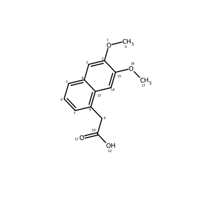 COc1cc2cccc(CC(=O)O)c2cc1OC